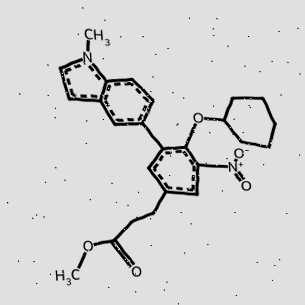 COC(=O)CCc1cc(-c2ccc3c(ccn3C)c2)c(OC2CCCCC2)c([N+](=O)[O-])c1